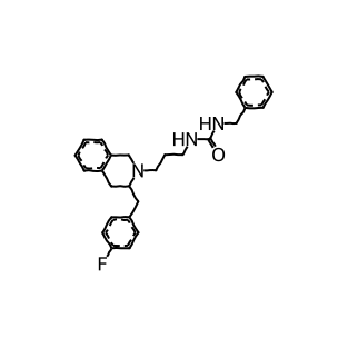 O=C(NCCCN1Cc2ccccc2CC1Cc1ccc(F)cc1)NCc1ccccc1